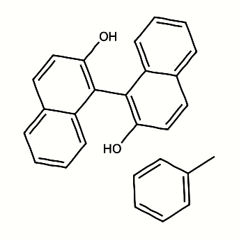 Cc1ccccc1.Oc1ccc2ccccc2c1-c1c(O)ccc2ccccc12